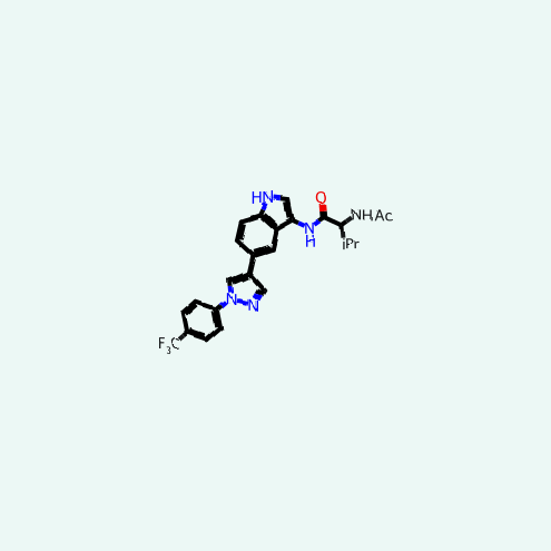 CC(=O)NC(C(=O)Nc1c[nH]c2ccc(-c3cnn(-c4ccc(C(F)(F)F)cc4)c3)cc12)C(C)C